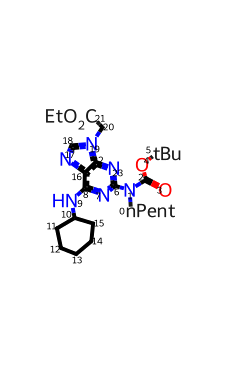 CCCCCN(C(=O)OC(C)(C)C)c1nc(NC2CCCCC2)c2ncn(CC(=O)OCC)c2n1